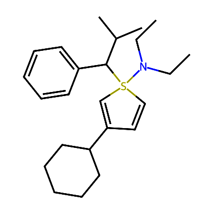 CCN(CC)S1(C(c2ccccc2)C(C)C)C=CC(C2CCCCC2)=C1